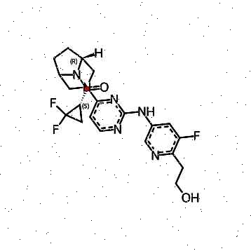 O=C([C@@H]1CC1(F)F)N1C2CC[C@@H]1CN(c1ccnc(Nc3cnc(CCO)c(F)c3)n1)C2